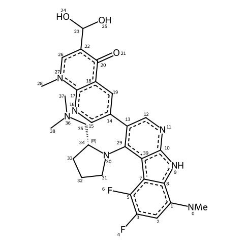 CNc1cc(F)c(F)c2c1[nH]c1ncc(-c3cnc4c(c3)c(=O)c(C(O)O)cn4C)c(N3CCC[C@@H]3CN(C)C)c12